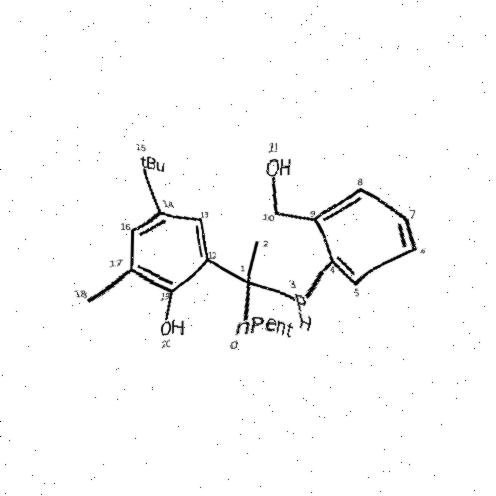 CCCCCC(C)(Pc1ccccc1CO)c1cc(C(C)(C)C)cc(C)c1O